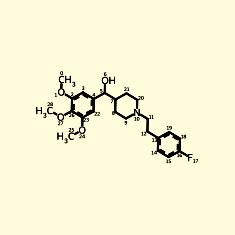 COc1cc(C(O)C2CCN(CCc3ccc(F)cc3)CC2)cc(OC)c1OC